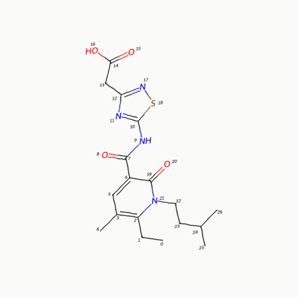 CCc1c(C)cc(C(=O)Nc2nc(CC(=O)O)ns2)c(=O)n1CCC(C)C